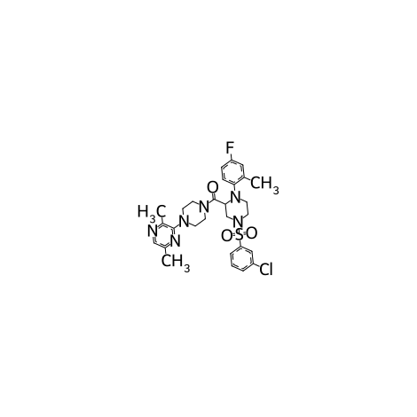 Cc1cnc(C)c(N2CCN(C(=O)C3CN(S(=O)(=O)c4cccc(Cl)c4)CCN3c3ccc(F)cc3C)CC2)n1